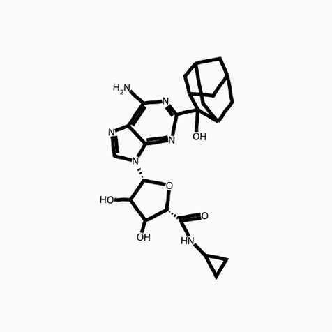 Nc1nc(C2(O)C3CC4CC(C3)CC2C4)nc2c1ncn2[C@@H]1O[C@H](C(=O)NC2CC2)C(O)C1O